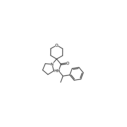 CC(NC(=O)C1(N2CCCC2)CCOCC1)c1ccccc1